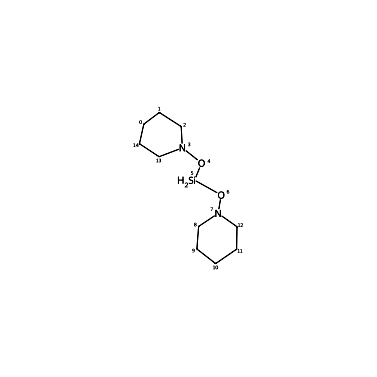 C1CCN(O[SiH2]ON2CCCCC2)CC1